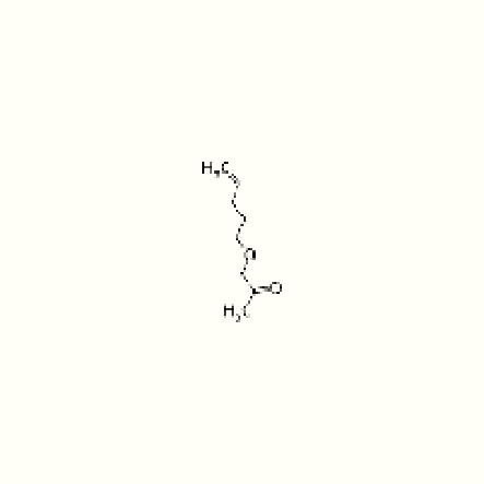 C=CCCCOCC(C)=O